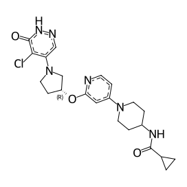 O=C(NC1CCN(c2ccnc(O[C@@H]3CCN(c4cn[nH]c(=O)c4Cl)C3)c2)CC1)C1CC1